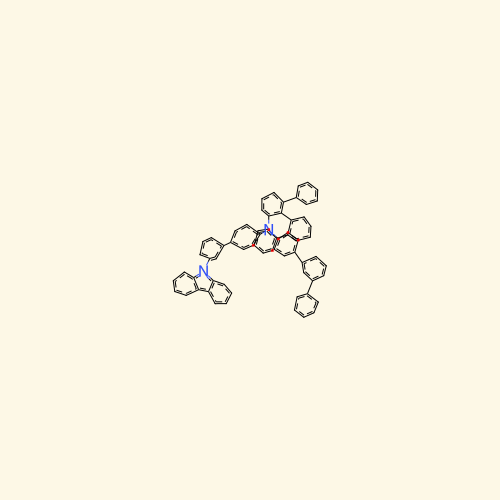 c1ccc(-c2cccc(-c3ccc(N(c4ccc(-c5cccc(-n6c7ccccc7c7ccccc76)c5)cc4)c4cccc(-c5ccccc5)c4-c4ccccc4-c4ccccc4)cc3)c2)cc1